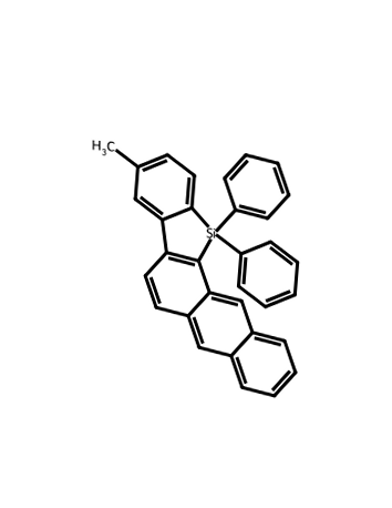 Cc1ccc2c(c1)-c1ccc3cc4ccccc4cc3c1[Si]2(c1ccccc1)c1ccccc1